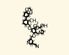 Cc1c(COc2cc(OCc3cncc(C#N)c3)c(CN3CC[C@H]3C(=O)O)cc2Cl)cccc1-c1ccc2c(c1)OCCO2